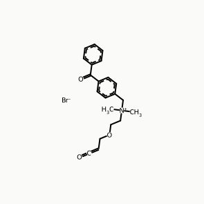 C[N+](C)(CCOCC=C=O)Cc1ccc(C(=O)c2ccccc2)cc1.[Br-]